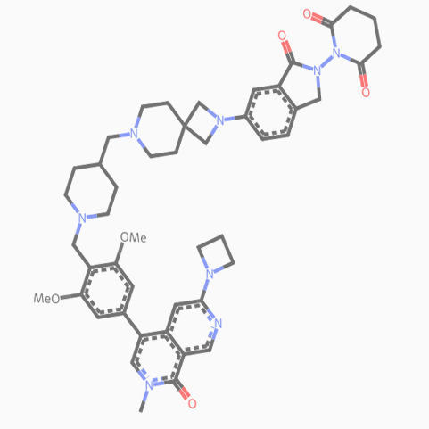 COc1cc(-c2cn(C)c(=O)c3cnc(N4CCC4)cc23)cc(OC)c1CN1CCC(CN2CCC3(CC2)CN(c2ccc4c(c2)C(=O)N(N2C(=O)CCCC2=O)C4)C3)CC1